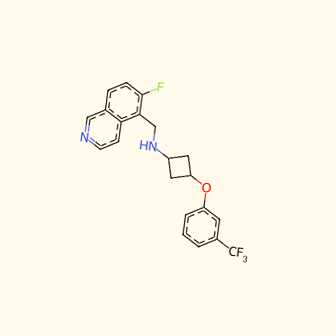 Fc1ccc2cnccc2c1CNC1CC(Oc2cccc(C(F)(F)F)c2)C1